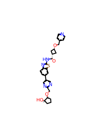 O=C(Nc1nc2ccc(-c3cnc(CO[C@H]4CCC[C@@H]4O)nc3)cc2s1)[C@H]1C[C@@H](OCc2ccncc2)C1